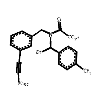 CCCCCCCCCCC#Cc1cccc(CN(C(=O)C(=O)O)C(CC)c2ccc(C(F)(F)F)cc2)c1